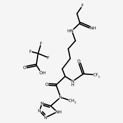 CN(C(=O)C(CCCCNC(=N)CF)NC(=O)C(F)(F)F)c1nnn[nH]1.O=C(O)C(F)(F)F